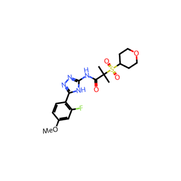 COc1ccc(-c2nnc(NC(=O)C(C)(C)S(=O)(=O)C3CCOCC3)[nH]2)c(F)c1